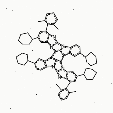 Cc1cccc(C)c1-c1cc(C2CCCCC2)cc2c1nc1n2c2c3c4cc(C5CCCCC5)ccc4n4c3c(c3c5cc(C6CCCCC6)ccc5n1c32)n1c2cc(C3CCCCC3)cc(-c3c(C)cccc3C)c2nc14